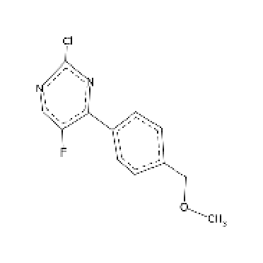 COCc1ccc(-c2nc(Cl)ncc2F)cc1